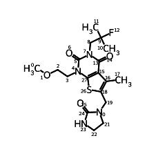 COCCn1c(=O)n(CC(C)(C)F)c(=O)c2c(C)c(CN3CCNC3=O)sc21